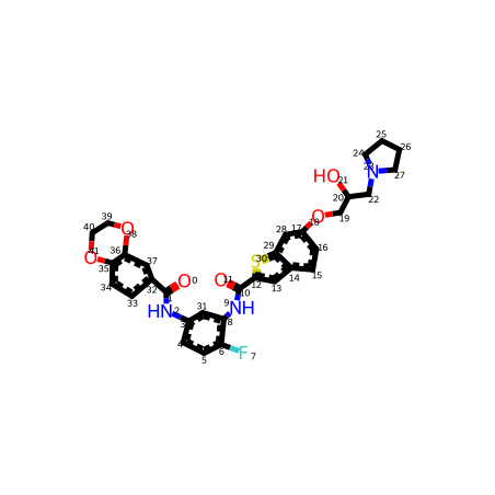 O=C(Nc1ccc(F)c(NC(=O)c2cc3ccc(OCC(O)CN4CCCC4)cc3s2)c1)c1ccc2c(c1)OCCO2